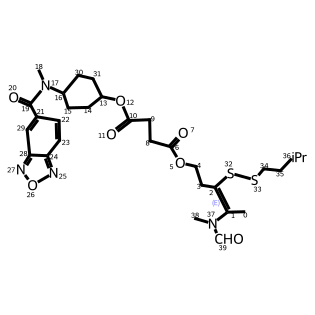 C/C(=C(/CCOC(=O)CCC(=O)OC1CCC(N(C)C(=O)c2ccc3nonc3c2)CC1)SSCCC(C)C)N(C)C=O